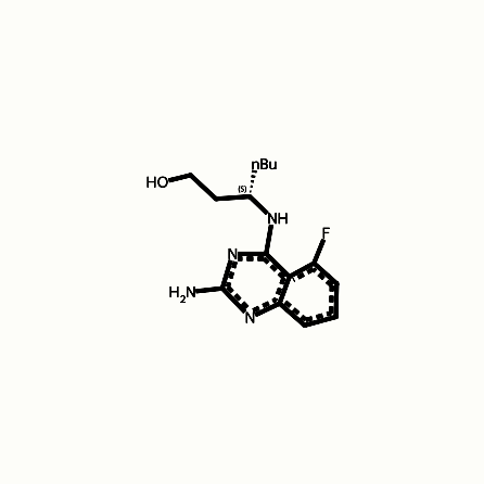 CCCC[C@@H](CCO)Nc1nc(N)nc2cccc(F)c12